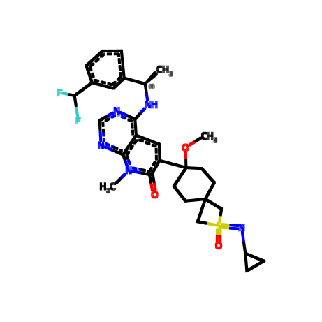 COC1(c2cc3c(N[C@H](C)c4cccc(C(F)F)c4)ncnc3n(C)c2=O)CCC2(CC1)CS(=O)(=NC1CC1)C2